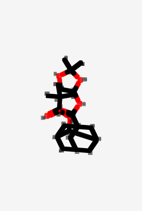 CC1(C)OCC(OC(=O)C23CC4CC(C2)C(OC(=O)C(C)(C)C)C(C4)C3)O1